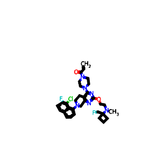 C=CC(=O)N1CCN(c2nc(OCCN(C)C3(CF)CCC3)nc3c2CCN(c2cccc4ccc(F)c(Cl)c24)C3)CC1